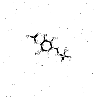 CC(=O)N[C@@H]1[C@@H](O)[C@@H](O)[C@@H](COP(=O)(O)O)O[C@@H]1O